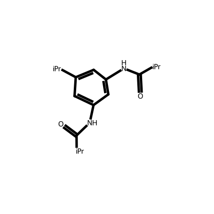 CC(C)C(=O)Nc1cc(NC(=O)C(C)C)cc(C(C)C)c1